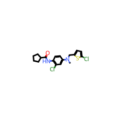 CN(Cc1ccc(Cl)s1)c1ccc(NC(=O)C2CCCC2)c(Cl)c1